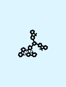 CC1(C)c2ccccc2-c2ccc(-c3cc(-c4ccc(N(c5cccc6c5oc5ccccc56)c5cccc6c5oc5ccccc56)cc4)cc(-c4ccc5c(c4)C(C)(C)c4ccccc4-5)c3)cc21